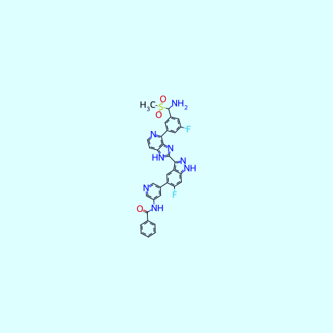 CS(=O)(=O)C(N)c1cc(F)cc(-c2nccc3[nH]c(-c4n[nH]c5cc(F)c(-c6cncc(NC(=O)c7ccccc7)c6)cc45)nc23)c1